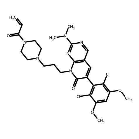 C=CC(=O)N1CCN(CCCn2c(=O)c(-c3c(Cl)c(OC)cc(OC)c3Cl)cc3cnc(N(C)C)nc32)CC1